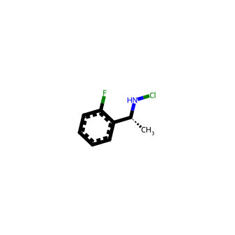 C[C@@H](NCl)c1ccccc1F